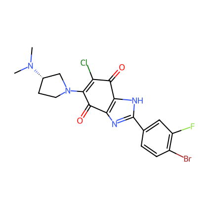 CN(C)[C@H]1CCN(C2=C(Cl)C(=O)c3[nH]c(-c4ccc(Br)c(F)c4)nc3C2=O)C1